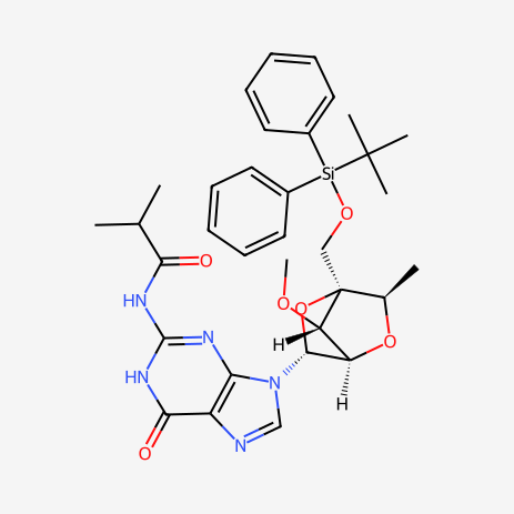 CO[C@H]1[C@H]2O[C@H](C)[C@]1(CO[Si](c1ccccc1)(c1ccccc1)C(C)(C)C)O[C@H]2n1cnc2c(=O)[nH]c(NC(=O)C(C)C)nc21